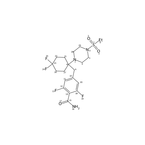 CCS(=O)(=O)N1CCN(C2(Cc3cc(F)c(C(N)=O)c(F)c3)CCC(F)(F)CC2)CC1